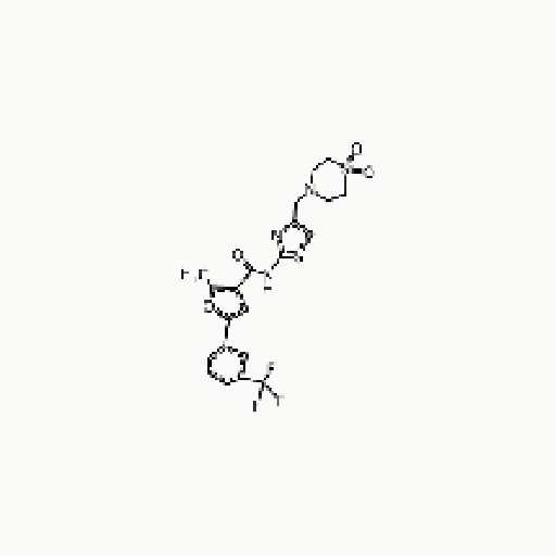 Cc1oc(-c2cccc(C(F)(F)F)c2)cc1C(=O)Nc1nc(CN2CCS(=O)(=O)CC2)cs1